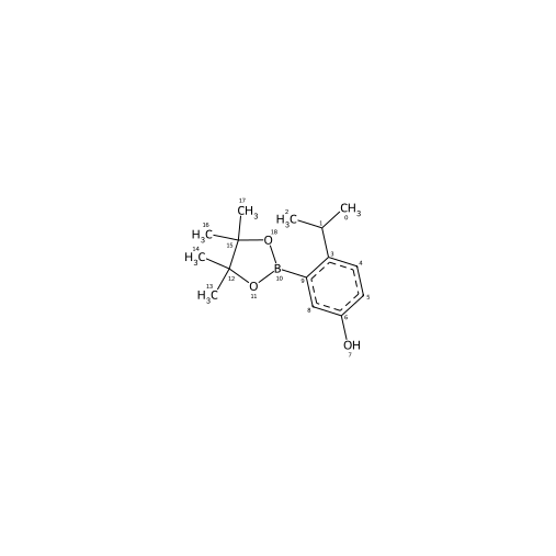 CC(C)c1ccc(O)cc1B1OC(C)(C)C(C)(C)O1